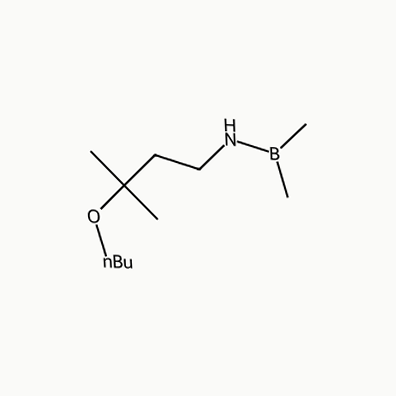 CCCCOC(C)(C)CCNB(C)C